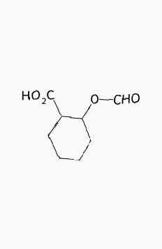 O=COC1CCCCC1C(=O)O